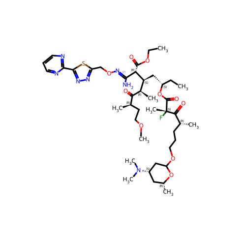 CCOC(=O)[C@@H](/C(N)=N/OCc1nnc(-c2ncccn2)s1)[C@@H](C[C@H](CC)OC(=O)[C@@](C)(F)C(=O)[C@H](C)CCCOC1C[C@@H](N(C)C)C[C@@H](C)O1)[C@@H](C)C(=O)[C@H](C)CCOC